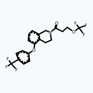 O=C(CCOC(F)(F)F)N1CCc2c(cccc2Oc2ccc(C(F)(F)F)cc2)C1